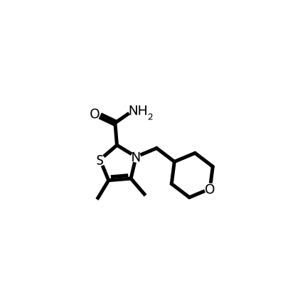 CC1=C(C)N(CC2CCOCC2)C(C(N)=O)S1